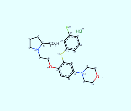 Cl.O=C(O)[C@@H]1CCCN1CCOc1ccc(N2CCOCC2)cc1Sc1cccc(F)c1